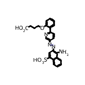 Nc1c(/N=N/c2ccc(-c3ccccc3OCCCC(=O)O)nc2)cc(S(=O)(=O)O)c2ccccc12